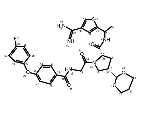 CC(NC(=O)[C@@H]1C[C@H](C2OCCCO2)CN1C(=O)CNC(=O)c1ccc(Oc2ccc(F)cc2)cc1)c1cc(C(=N)N)cs1